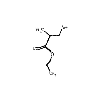 CCOC(=O)C(C)C[NH]